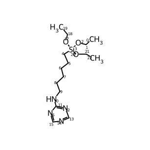 CCO[Si](CCCCCCNc1ncncn1)(OCC)OCC